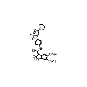 CCC(Nc1ccc(N(CC(=O)N2CCCC2)S(C)(=O)=O)cc1)=C1C(=O)Nc2cc(OC)c(OC)cc21